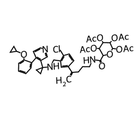 C=C(CCCNC(=O)C1OC(OC(C)=O)C(OC(C)=O)C(OC(C)=O)C1OC(C)=O)c1ccc(Cl)c(CNC2(c3cnccc3-c3ccccc3OC3CC3)CC2)c1